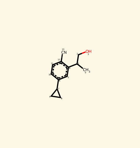 C[C](CO)c1cc(C2CC2)ccc1C#N